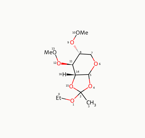 CCOC1(C)OC2OC[C@@H](OOC)[C@H](OOC)[C@H]2O1